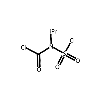 CC(C)N(C(=O)Cl)S(=O)(=O)Cl